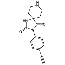 C#Cc1ccc(N2C(=O)NC3(CCNCC3)C2=O)cc1